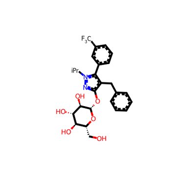 CC(C)n1nc(O[C@@H]2O[C@H](CO)[C@@H](O)[C@H](O)[C@H]2O)c(Cc2ccccc2)c1-c1cccc(C(F)(F)F)c1